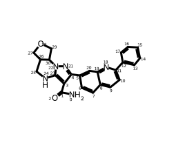 NC(=O)c1c(-c2ccc3ccc(-c4ccccc4)nc3c2)nn2c1NCC1COCC12